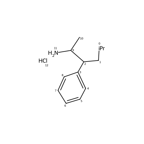 CC(C)CC(c1ccccc1)C(C)N.Cl